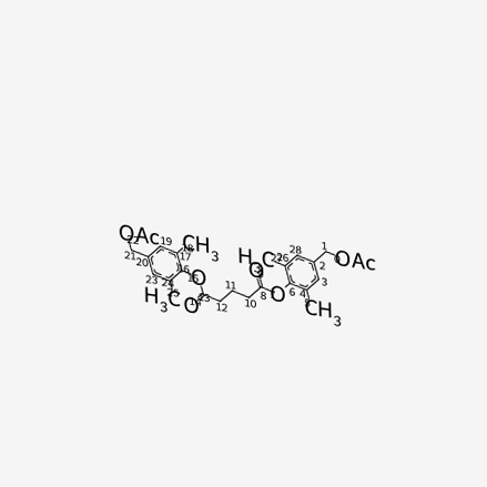 CC(=O)OCc1cc(C)c(OC(=O)CCCC(=O)Oc2c(C)cc(COC(C)=O)cc2C)c(C)c1